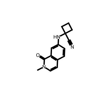 Cn1ccc2ccc(NC3(C#N)CCC3)cc2c1=O